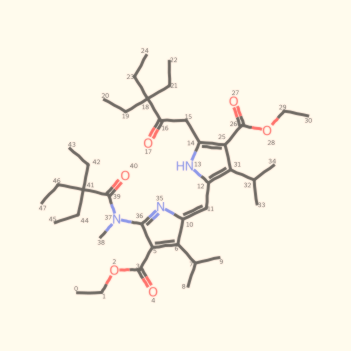 CCOC(=O)C1=C(C(C)C)/C(=C/c2[nH]c(CC(=O)C(CC)(CC)CC)c(C(=O)OCC)c2C(C)C)N=C1N(C)C(=O)C(CC)(CC)CC